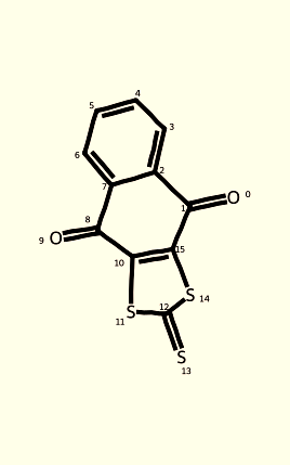 O=C1c2ccccc2C(=O)c2sc(=S)sc21